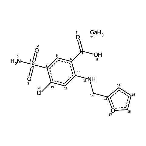 NS(=O)(=O)c1cc(C(=O)O)c(NCc2ccco2)cc1Cl.[GaH3]